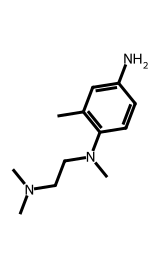 Cc1cc(N)ccc1N(C)CCN(C)C